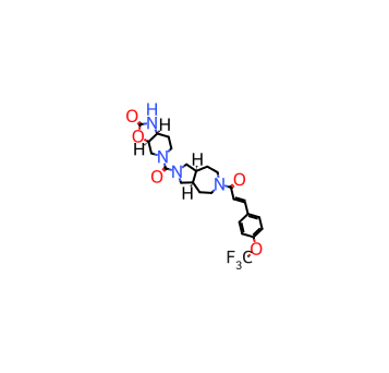 O=C1N[C@H]2CCN(C(=O)N3C[C@H]4CCN(C(=O)C=Cc5ccc(OC(F)(F)F)cc5)CC[C@H]4C3)C[C@H]2O1